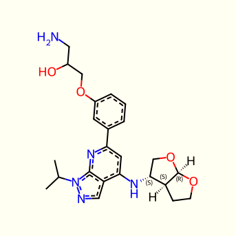 CC(C)n1ncc2c(N[C@@H]3CO[C@H]4OCC[C@H]43)cc(-c3cccc(OCC(O)CN)c3)nc21